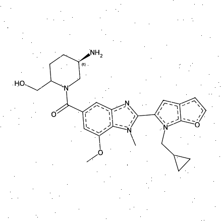 COc1cc(C(=O)N2C[C@H](N)CCC2CO)cc2nc(-c3cc4ccoc4n3CC3CC3)n(C)c12